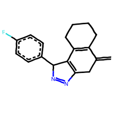 C=C1CC2=C(C3=C1CCCC3)C(c1ccc(F)cc1)N=N2